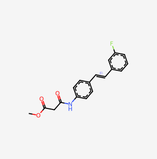 COC(=O)CC(=O)Nc1ccc(/C=C/c2cccc(F)c2)cc1